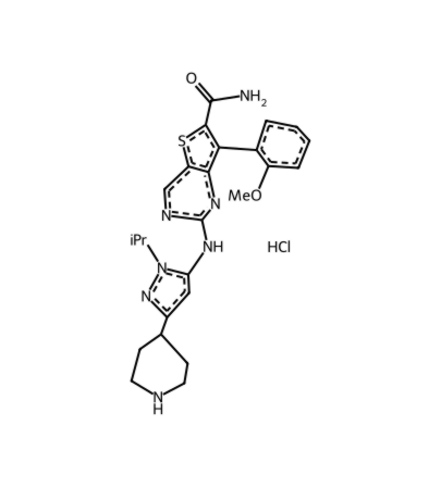 COc1ccccc1-c1c(C(N)=O)sc2cnc(Nc3cc(C4CCNCC4)nn3C(C)C)nc12.Cl